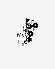 COc1c(Nc2cc(-c3c(F)cccc3F)nn(CC3CC3)c2=O)cccc1-c1ncn(C)n1